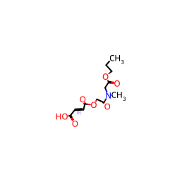 CCCOC(=O)CN(C)C(=O)COC(=O)/C=C/C(=O)O